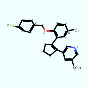 O=C(O)c1cncc(C2=C(c3cc(C(F)(F)F)ccc3OCc3ccc(F)cc3)CCC2)c1